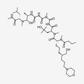 CCCC(=O)N(C)[C@H](SCC[C@@H](CO)CCCN1CCOCC1)C(=O)N(C)[C@@H](CC(C)(C)O)C(=O)NC(=O)N(C)C(=O)NC(=O)N[C@H](C)C(O)N(C)[C@@H](CC(C)C)C(=O)NC